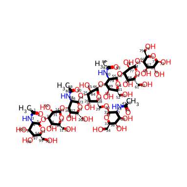 CC(=O)N[C@H]1[C@@H](O[C@H]2[C@@H](O)[C@@H](CO)O[C@@H](O[C@H]3[C@H](O)[C@@H](CO)O[C@@H](O[C@H]4[C@@H](O)[C@@H](CO[C@@H]5O[C@H](CO)[C@@H](O)[C@H](O)[C@H]5NC(C)=O)O[C@@H](O[C@H]5[C@H](O)[C@@H](CO)O[C@@H](O[C@H]6[C@@H](O)[C@@H](CO)O[C@@H](O[C@H]7[C@H](O)[C@@H](O)[C@H](O)O[C@@H]7CO)[C@@H]6O)[C@@H]5NC(C)=O)[C@@H]4O)[C@@H]3NC(C)=O)[C@@H]2O)O[C@H](CO)[C@H](O)[C@@H]1O